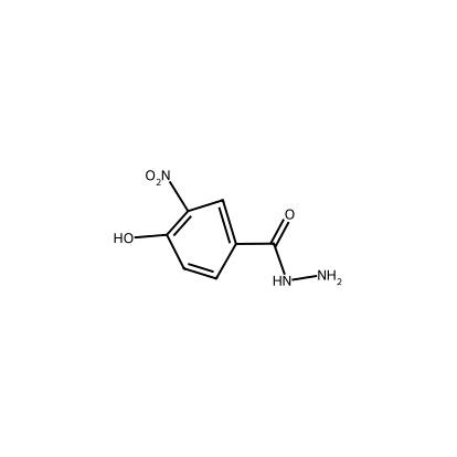 NNC(=O)c1ccc(O)c([N+](=O)[O-])c1